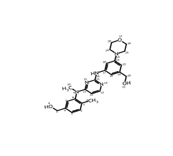 Cc1ccc(CO)cc1N(C)c1ccnc(Nc2cc(CO)cc(N3CCOCC3)c2)n1